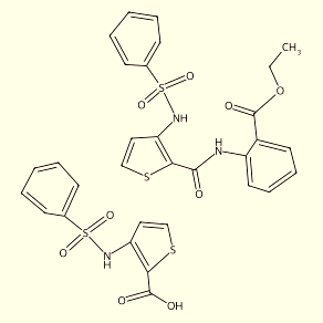 CCOC(=O)c1ccccc1NC(=O)c1sccc1NS(=O)(=O)c1ccccc1.O=C(O)c1sccc1NS(=O)(=O)c1ccccc1